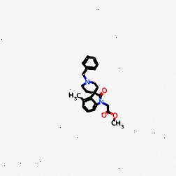 COC(=O)CN1C(=O)C2(CCN(Cc3ccccc3)CC2)c2c(C)cccc21